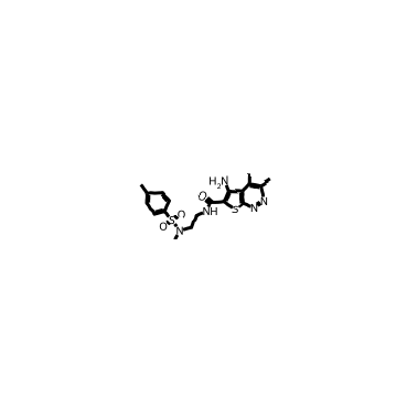 Cc1ccc(S(=O)(=O)N(C)CCNC(=O)c2sc3nnc(C)c(C)c3c2N)cc1